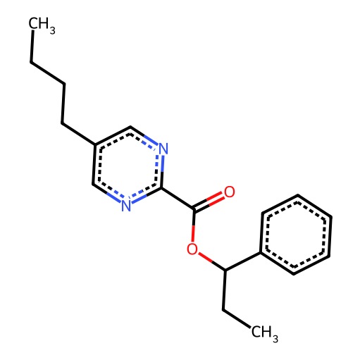 CCCCc1cnc(C(=O)OC(CC)c2ccccc2)nc1